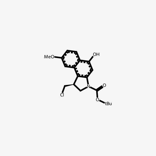 COc1ccc2c(O)cc3c(c2c1)[C@H](CCl)CN3C(=O)OC(C)(C)C